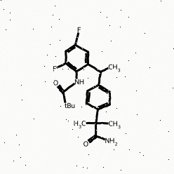 CC(c1ccc(C(C)(C)C(N)=O)cc1)c1cc(F)cc(F)c1NC(=O)C(C)(C)C